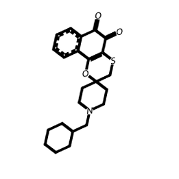 O=C1C(=O)c2ccccc2C2=C1SCC1(CCN(CC3CCCCC3)CC1)O2